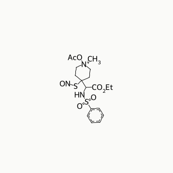 CCOC(=O)C(NS(=O)(=O)c1ccccc1)C1(SN=O)CC[N+](C)(OC(C)=O)CC1